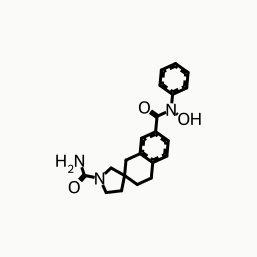 NC(=O)N1CCC2(CCc3ccc(C(=O)N(O)c4ccccc4)cc3C2)C1